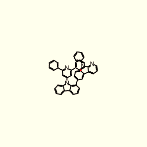 c1ccc(-c2cc(-n3c4ccccc4c4cccc(-c5ccc6c(c5)c5cccnc5n6-c5ccccc5)c43)cc(-c3ccccc3)n2)cc1